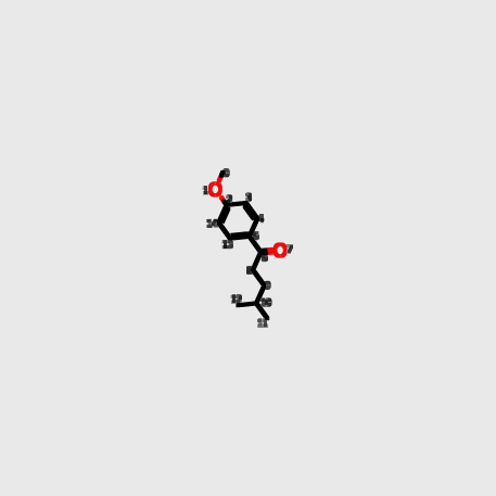 COc1ccc(C(=O)CCC(C)C)cc1